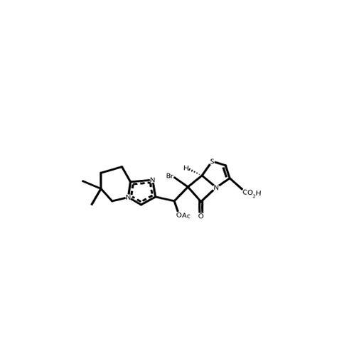 CC(=O)OC(c1cn2c(n1)CCC(C)(C)C2)C1(Br)C(=O)N2C(C(=O)O)=CS[C@@H]21